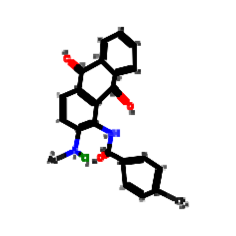 CC(=O)N(Cl)c1ccc2c(c1NC(=O)c1ccc(C(F)(F)F)cc1)C(=O)c1ccccc1C2=O